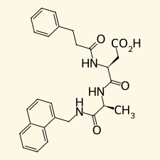 C[C@H](NC(=O)[C@H](CC(=O)O)NC(=O)CCc1ccccc1)C(=O)NCc1cccc2ccccc12